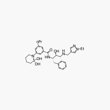 CCCc1cc(C(=O)N[C@@H](Cc2ccccc2)[C@@H](O)CNCc2cnn(CC)c2)cc(N2CCCCS2(O)O)c1